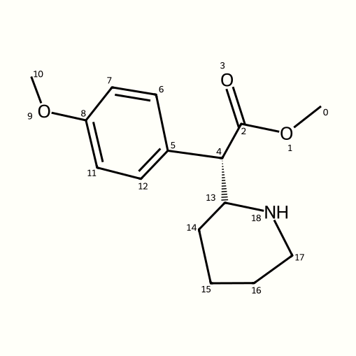 COC(=O)[C@@H](c1ccc(OC)cc1)C1CCCCN1